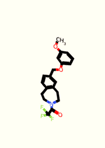 COc1cccc(OCc2ccc3c(c2)CCN(C(=O)C(F)(F)F)CC3)c1